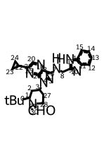 CC(C)(C)C1CC(n2nc(NCc3nc4ccccc4[nH]3)c3ncc(C4CC4)nc32)CCN1[C]=O